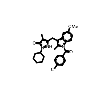 COc1ccc2c(c1)c(Cc1[nH]n(C3CCCCC3)c(=O)c1C)c(C)n2C(=O)c1ccc(Cl)cc1